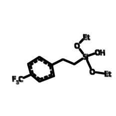 CCO[Si](O)(CCc1ccc(C(F)(F)F)cc1)OCC